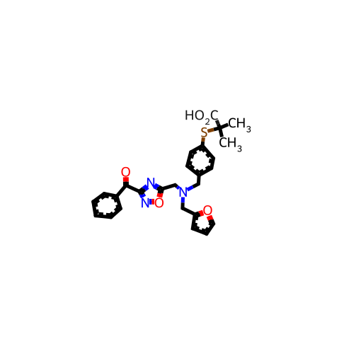 CC(C)(Sc1ccc(CN(Cc2ccco2)Cc2nc(C(=O)c3ccccc3)no2)cc1)C(=O)O